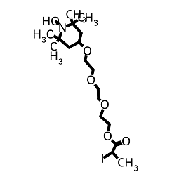 CC(I)C(=O)OCCOCCOCCOC1CC(C)(C)N(O)C(C)(C)C1